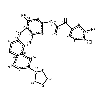 O=C(Nc1ccc(Cl)c(F)c1)Nc1cc(F)c(Oc2ccc3ncc(N4CCCC4)nc3c2)c(F)c1